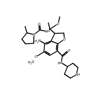 COC(C)(NC(=O)N1CCCC1C)C1COc2c(C(=O)NC3CCNCC3)cc(Cl)c(N)c21.O